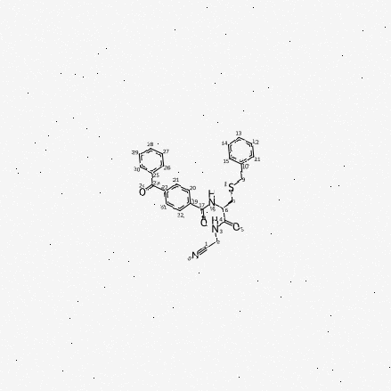 N#CCNC(=O)[C@H](CSCc1ccccc1)NC(=O)c1ccc(C(=O)c2ccccc2)cc1